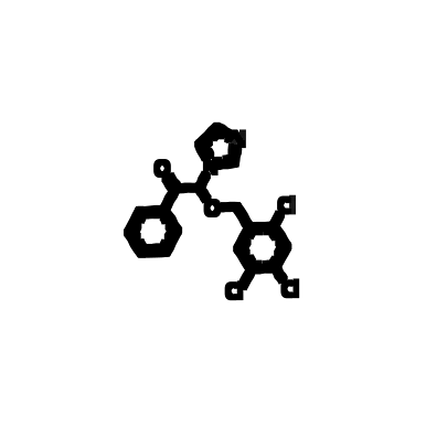 O=C(c1ccccc1)C(OCc1cc(Cl)c(Cl)cc1Cl)n1ccnc1